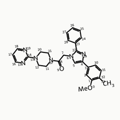 COc1cc(-c2cn(CC(=O)N3CCN(c4ncccn4)CC3)c(-c3ccccc3)n2)ccc1C